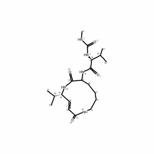 CNC(=O)N[C@H](C(=O)NC1CCCCNC(=O)/C=C/[C@H](C(C)C)NC1=O)C(C)C